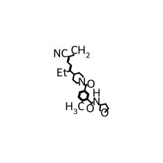 C=C/C(C#N)=C\C=C(/CC)C1CCN(C(=O)c2ccc(C)c(C(=O)NC3CCOC3)c2)CC1